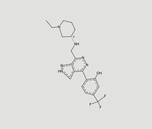 CCN1CCC[C@H](NCc2nnc(-c3ccc(C(F)(F)F)cc3O)c3c[nH]nc23)C1